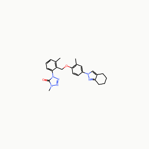 Cc1cc(-n2cc3c(n2)CCCC3)ccc1OCc1c(C)cccc1-n1nnn(C)c1=O